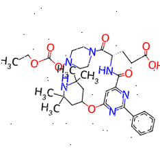 CCOC(=O)ON1CCN(C(=O)[C@H](CCC(=O)O)NC(=O)c2cc(OC3CC(C)(C)NC(C)(C)C3)nc(-c3ccccc3)n2)CC1